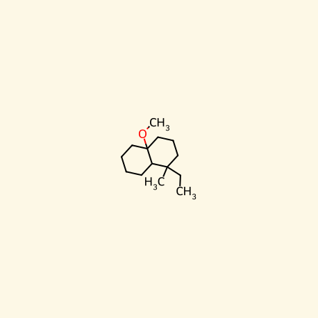 CCC1(C)CCCC2(OC)CCCCC12